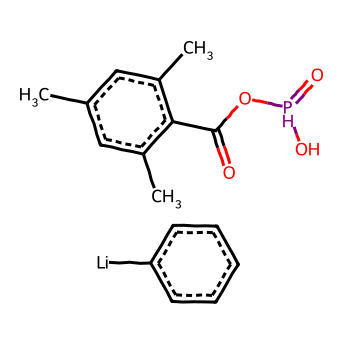 Cc1cc(C)c(C(=O)O[PH](=O)O)c(C)c1.[Li][c]1ccccc1